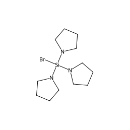 Br[Si](N1CCCC1)(N1CCCC1)N1CCCC1